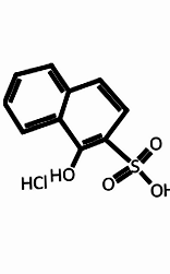 Cl.O=S(=O)(O)c1ccc2ccccc2c1O